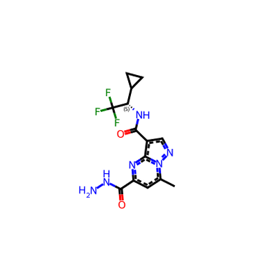 Cc1cc(C(=O)NN)nc2c(C(=O)N[C@@H](C3CC3)C(F)(F)F)cnn12